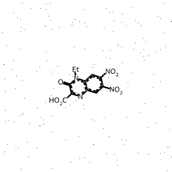 CCn1c(=O)c(C(=O)O)nc2cc([N+](=O)[O-])c([N+](=O)[O-])cc21